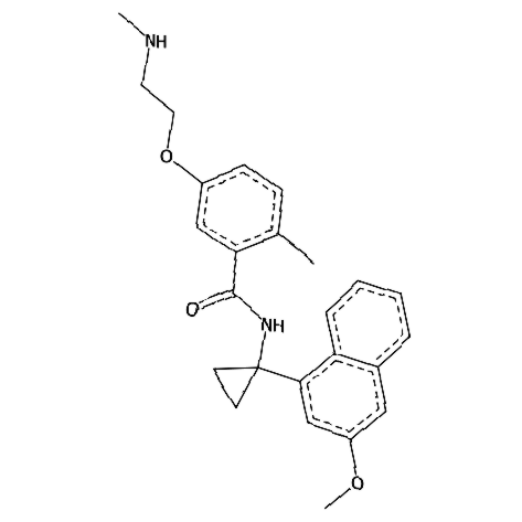 CNCCOc1ccc(C)c(C(=O)NC2(c3cc(OC)cc4ccccc34)CC2)c1